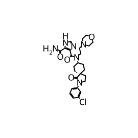 NC(=O)c1[nH]cnc1C(=O)N(CCN1CCOCC1)[C@H]1CC[C@@]2(CCN(c3cccc(Cl)c3)C2=O)CC1